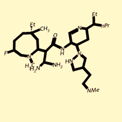 CCCC(CC)C1CC(N2CC(CCNC)CN2)C(NC(=O)C(C(N)N)C2C[C@@](C)(CC)CCC(F)CN2C)C=N1